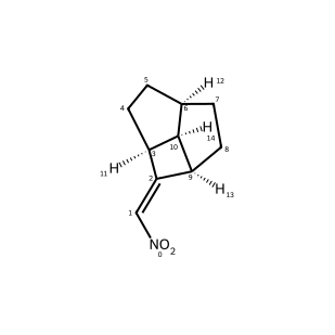 O=[N+]([O-])C=C1[C@H]2CC[C@H]3CC[C@@H]1[C@H]32